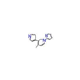 CC1=C(c2ccncc2)CN(c2ccccn2)C=C1